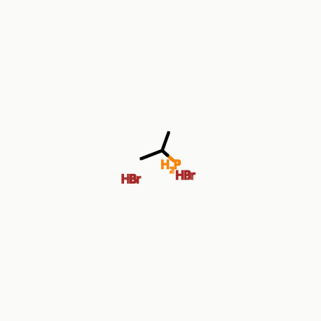 Br.Br.CC(C)P